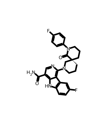 NC(=O)c1cnc(N2CCC[C@]3(CCCN(c4ccc(F)cc4)C3=O)C2)c2c1[nH]c1ccc(F)cc12